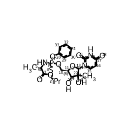 CC(C)OC(=O)[C@H](C)N[P@](=S)(OC[C@H]1O[C@@H](n2ccc(=O)[nH]c2=O)[C@](C)(O)[C@@H]1O)Oc1ccccc1